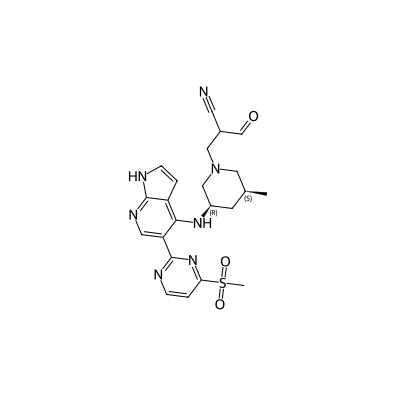 C[C@H]1C[C@@H](Nc2c(-c3nccc(S(C)(=O)=O)n3)cnc3[nH]ccc23)CN(CC(C#N)C=O)C1